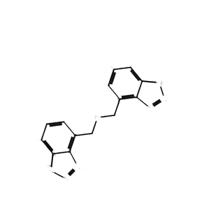 c1cc(CNCc2cccc3[nH]nnc23)c2nn[nH]c2c1